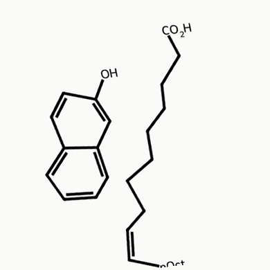 CCCCCCCC/C=C\CCCCCCCC(=O)O.Oc1ccc2ccccc2c1